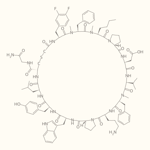 CCCC[C@H]1C(=O)N2CCC[C@@H]2C(=O)N[C@@H](CC(=O)O)C(=O)N[C@@H](C(C)C)C(=O)N(C)[C@@H](Cc2ccccc2)C(=O)N[C@@H](CCCN)C(=O)N2CCC[C@@H]2C(=O)N[C@@H](Cc2c[nH]c3ccccc23)C(=O)N[C@@H](Cc2ccc(O)cc2)C(=O)N[C@@H](CC(C)C)C(=O)N[C@H](C(=O)NCC(N)=O)CSCC(=O)N[C@@H](Cc2ccc(F)c(F)c2)C(=O)N(C)[C@@H](Cc2ccccc2)C(=O)N1C